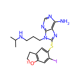 CC(C)NCCCn1c(Sc2cc3c(cc2I)[15O]CC3)nc2c(N)ncnc21